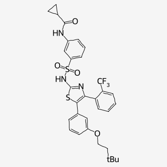 CC(C)(C)CCOc1cccc(-c2sc(NS(=O)(=O)c3cccc(NC(=O)C4CC4)c3)nc2-c2ccccc2C(F)(F)F)c1